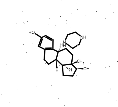 C1CNCCN1.C[C@]12CC[C@@H]3c4ccc(O)cc4CC[C@H]3[C@@H]1CC[C@@H]2O